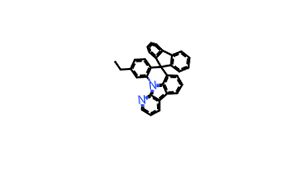 CCc1ccc2c(c1)-n1c3ncccc3c3cccc(c31)C21c2ccccc2-c2ccccc21